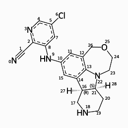 N#Cc1ncc(Cl)cc1Nc1cc2c3c(c1)[C@@H]1CNCC[C@@H]1N3CCOC2